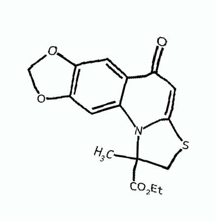 CCOC(=O)C1(C)CSc2cc(=O)c3cc4c(cc3n21)OCO4